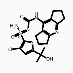 CC(C)(O)c1cc(Cl)c([S@](N)(=O)=NC(=O)Nc2c3c(nc4c2CCC4)CCC3)s1